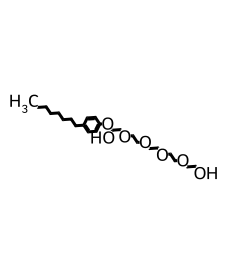 CCCCCCCCc1ccc(OC(O)COCCOCCOCCOCCO)cc1